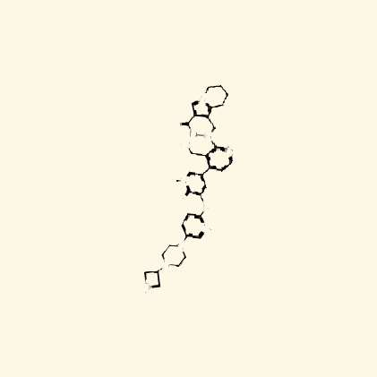 Cn1cc(-c2ccnc(N3Cc4c(cn5c4CCCC5)C(=O)N3)c2CO)cc(Nc2ccc(N3CCN(C4COC4)CC3)cn2)c1=O